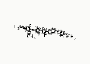 CCCc1ccc(CCc2ccc3cc(-c4ccc(-c5ccc(C#Cc6c(F)cc(CCC)cc6OCC)cc5F)cc4F)ccc3c2)cc1